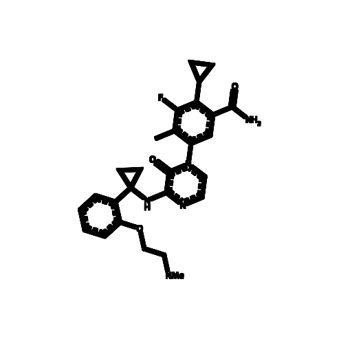 CNCCOc1ccccc1C1(Nc2nccn(-c3cc(C(N)=O)c(C4CC4)c(F)c3C)c2=O)CC1